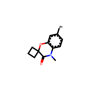 CC(C)c1ccc2c(c1)OC1(CCC1)C(=O)N2C